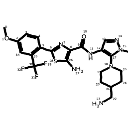 COc1ccc(-c2nc(C(=O)Nc3cnn(C)c3N3CCC(CN)CC3)c(N)s2)c(C(F)(F)F)c1